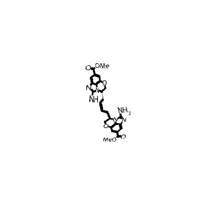 COC(=O)c1cc2c3c(c1)nc(N)n3C(C/C=C\C[C@H]1COc3cc(C(=O)OC)cc4nc(N)n1c34)CO2